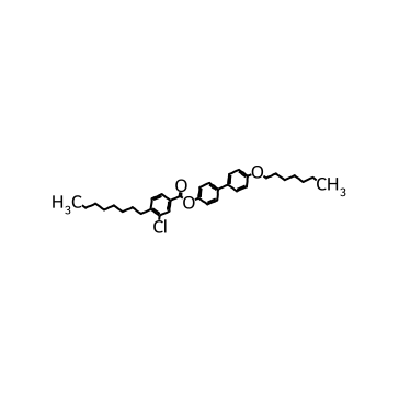 CCCCCCCCc1ccc(C(=O)Oc2ccc(-c3ccc(OCCCCCCC)cc3)cc2)cc1Cl